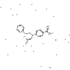 COC(=O)c1ccc(C(C=C(F)F)CCc2ccccc2)cc1